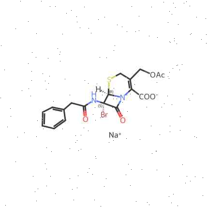 CC(=O)OCC1=C(C(=O)[O-])N2C(=O)[C@@](Br)(NC(=O)Cc3ccccc3)[C@H]2SC1.[Na+]